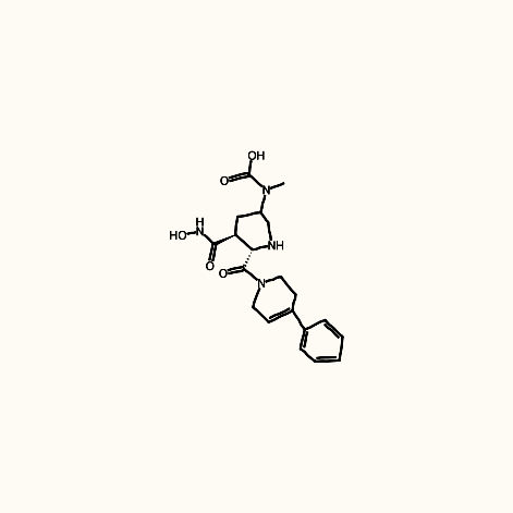 CN(C(=O)O)C1CN[C@H](C(=O)N2CC=C(c3ccccc3)CC2)[C@@H](C(=O)NO)C1